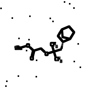 CC(C)(C)OC(=O)COC(C[C@@H]1CC2CCC1C2)(C(F)(F)F)C(F)(F)F